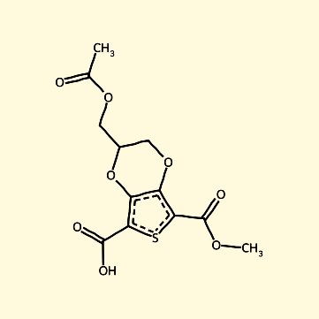 COC(=O)c1sc(C(=O)O)c2c1OCC(COC(C)=O)O2